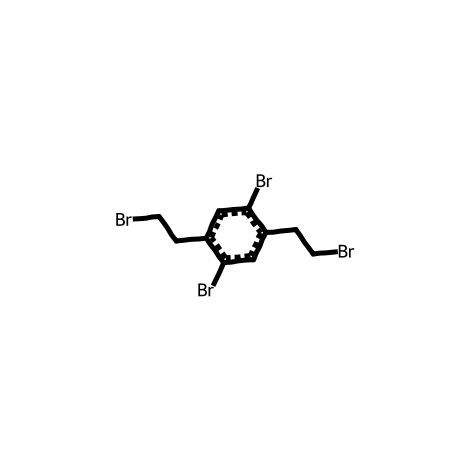 BrCCc1cc(Br)c(CCBr)cc1Br